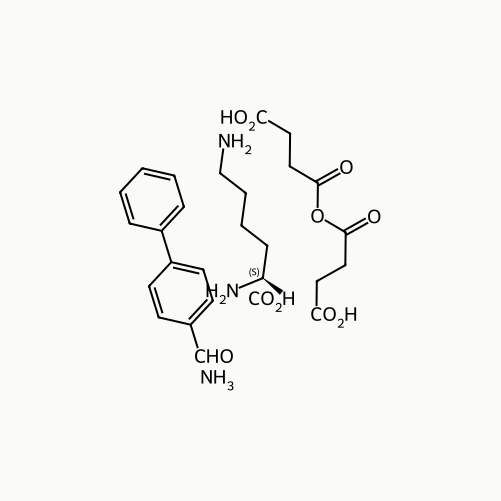 N.NCCCC[C@H](N)C(=O)O.O=C(O)CCC(=O)OC(=O)CCC(=O)O.O=Cc1ccc(-c2ccccc2)cc1